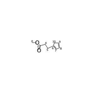 COC(=O)CCC1=CC=CC1